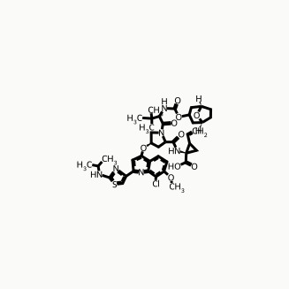 C=CC1C[C@]1(NC(=O)C1C[C@@H](Oc2cc(-c3csc(NC(C)C)n3)nc3c(Cl)c(OC)ccc23)CN1C(=O)C(NC(=O)OC1C[C@H]2CC[C@@H](C1)O2)C(C)(C)C)C(=O)O